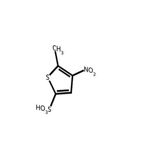 Cc1sc(S(=O)(=O)O)cc1[N+](=O)[O-]